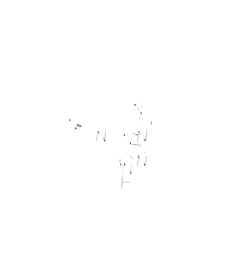 N#CCCN1CCC(n2c(CC(=O)N3CCCC3)nc3cnc4[nH]ccc4c32)CC1